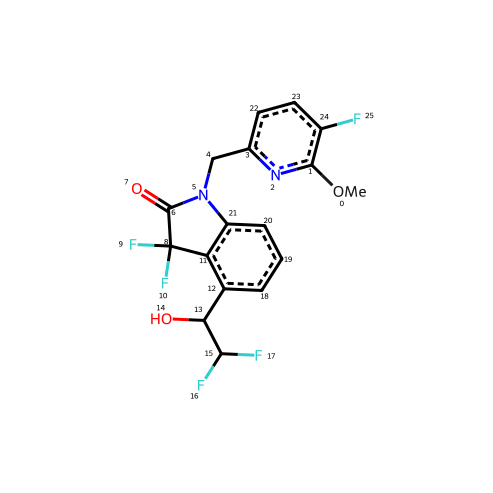 COc1nc(CN2C(=O)C(F)(F)c3c(C(O)C(F)F)cccc32)ccc1F